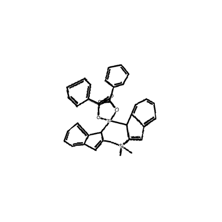 C[Si]1(C)C2=Cc3ccccc3[CH]2[Ti]([O]C(=O)c2ccccc2)([O]C(=O)c2ccccc2)[CH]2C1=Cc1ccccc12